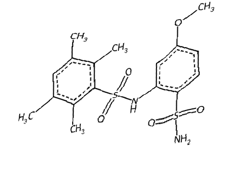 COc1ccc(S(N)(=O)=O)c(NS(=O)(=O)c2c(C)c(C)cc(C)c2C)c1